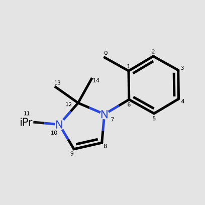 Cc1ccccc1N1C=CN(C(C)C)C1(C)C